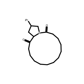 CC(C)C1CC2C(=O)CCCCCCCCCCCC(=O)N2C1